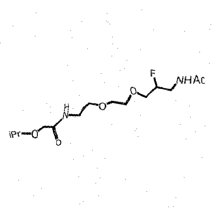 CC(=O)NCC(F)COCCOCCNC(=O)COC(C)C